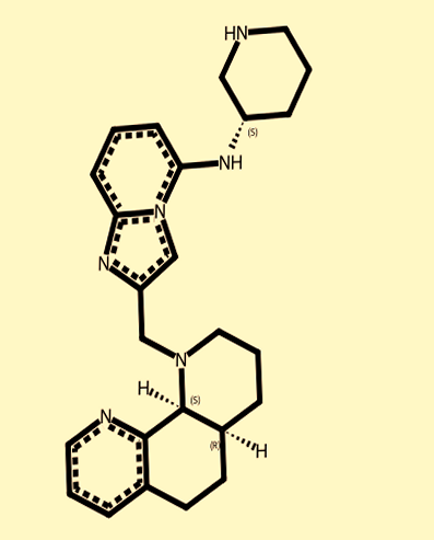 c1cnc2c(c1)CC[C@@H]1CCCN(Cc3cn4c(N[C@H]5CCCNC5)cccc4n3)[C@H]21